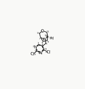 Clc1ncc(CN2C3CC[C@@H]2COC3)c(Cl)n1